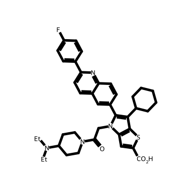 CCN(CC)C1CCN(C(=O)Cn2c(-c3ccc4nc(-c5ccc(F)cc5)ccc4c3)c(C3CCCCC3)c3sc(C(=O)O)cc32)CC1